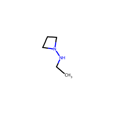 CCNN1CCC1